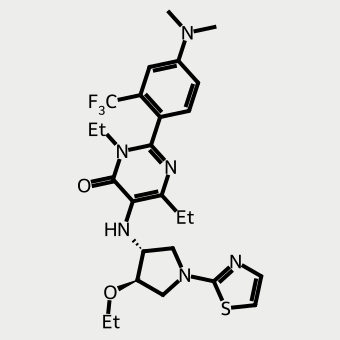 CCO[C@@H]1CN(c2nccs2)C[C@H]1Nc1c(CC)nc(-c2ccc(N(C)C)cc2C(F)(F)F)n(CC)c1=O